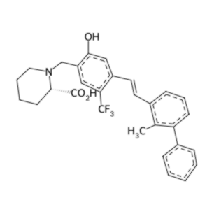 Cc1c(/C=C/c2cc(O)c(CN3CCCC[C@H]3C(=O)O)cc2C(F)(F)F)cccc1-c1ccccc1